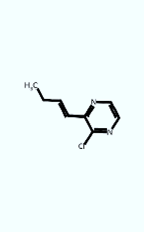 CC/C=C/c1nccnc1Cl